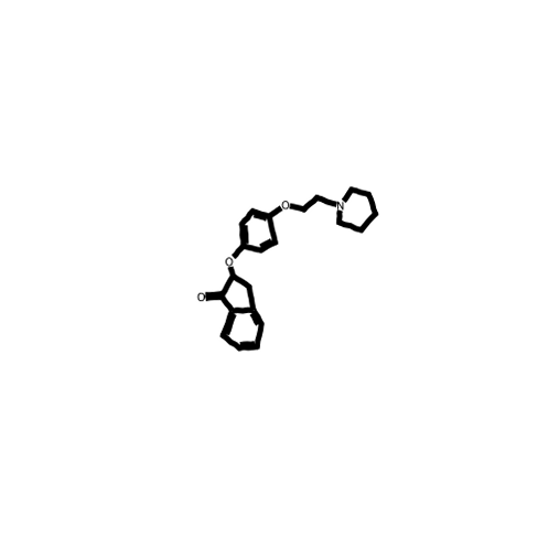 O=C1c2ccccc2CC1Oc1ccc(OCCN2CCCCC2)cc1